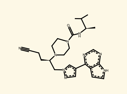 CC(C)[C@@H](C)NC(=O)N1CCN([C@H](CCC#N)Cn2cc(-c3ncnc4[nH]ccc34)cn2)CC1